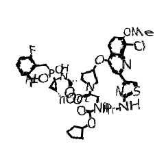 CCCCCCCC[C@@H]1C[C@]1(NC(=O)[C@@H]1C[C@@H](Oc2cc(-c3csc(NC(C)C)n3)nc3c(Cl)c(OC)ccc23)CN1C(=O)CNC(=O)OC1CCCC1)P(=O)(O)Cc1c(F)cccc1F